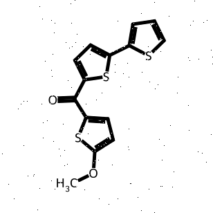 COc1ccc(C(=O)c2ccc(-c3cccs3)s2)s1